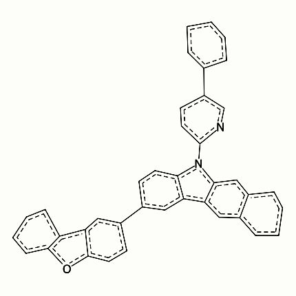 c1ccc(-c2ccc(-n3c4ccc(-c5ccc6oc7ccccc7c6c5)cc4c4cc5ccccc5cc43)nc2)cc1